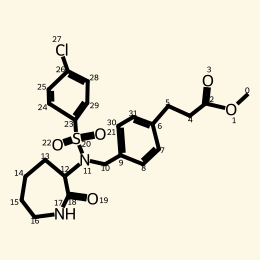 COC(=O)CCc1ccc(CN(C2CCCCNC2=O)S(=O)(=O)c2ccc(Cl)cc2)cc1